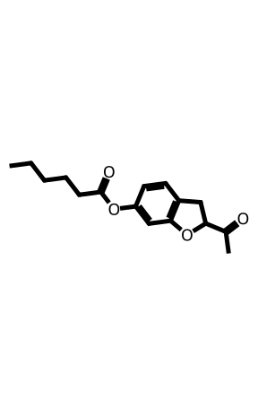 CCCCCC(=O)Oc1ccc2c(c1)OC(C(C)=O)C2